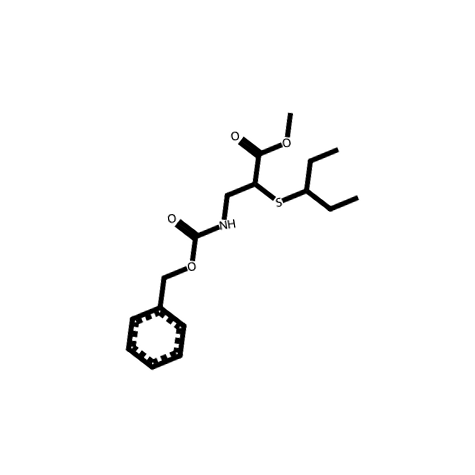 CCC(CC)SC(CNC(=O)OCc1ccccc1)C(=O)OC